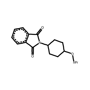 CCCOC1CCC(N2C(=O)c3ccccc3C2=O)CC1